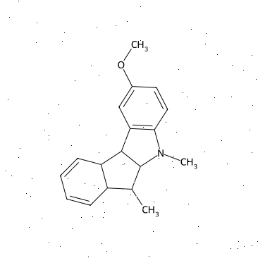 COc1ccc2c(c1)C1C3C=CC=CC3C(C)C1N2C